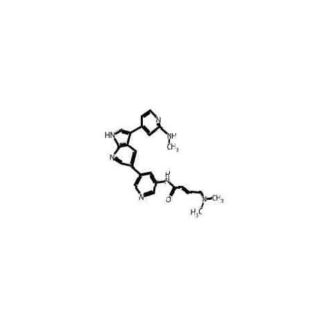 CNc1cc(-c2c[nH]c3ncc(-c4cncc(NC(=O)C=CCN(C)C)c4)cc23)ccn1